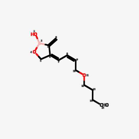 C=C1B(O)OC/C1=C/C=C\COCCCC=O